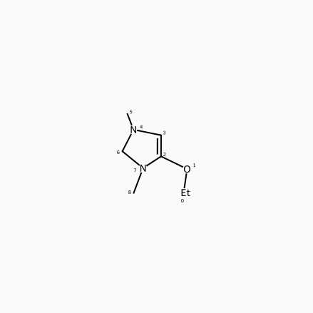 CCOC1=CN(C)CN1C